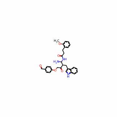 COc1ccccc1CCC(=O)NC(N)C(Cc1c[nH]c2ccccc12)C(=O)COc1ccc(C=O)cc1